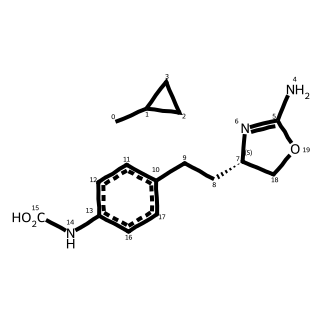 CC1CC1.NC1=N[C@@H](CCc2ccc(NC(=O)O)cc2)CO1